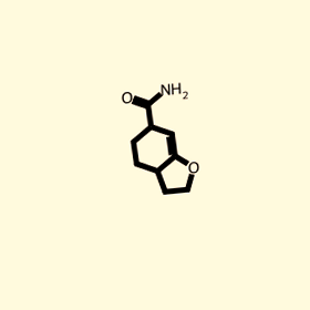 NC(=O)C1C=C2OCCC2CC1